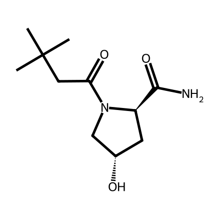 CC(C)(C)CC(=O)N1C[C@@H](O)C[C@@H]1C(N)=O